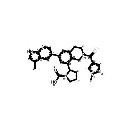 Cc1c[nH]c2ncc(-c3cc4c(c(C5CCCN5C(=O)O)c3)CN(C(=O)c3cnn(C)c3)CC4)cc12